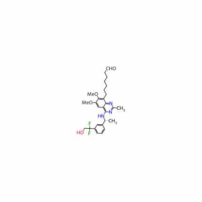 COc1cc2c(N[C@H](C)c3cccc(C(F)(F)CO)c3)nc(C)nc2c(CCCCCCC=O)c1OC